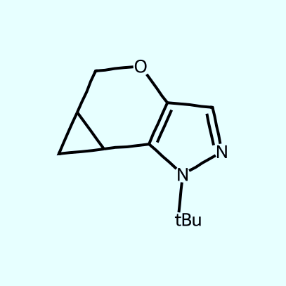 CC(C)(C)n1ncc2c1C1CC1CO2